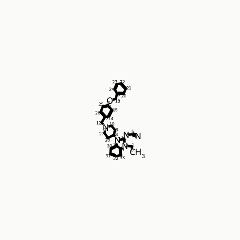 CCn1c(=NC#N)n(C2CCN(Cc3ccc(OCc4ccccc4)cc3)CC2)c2ccccc21